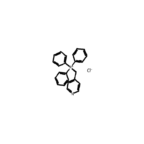 [Cl-].c1ccc([P+](Cc2ccncc2)(c2ccccc2)c2ccccc2)cc1